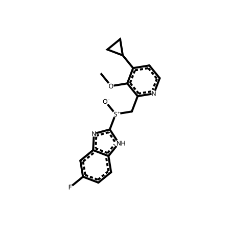 COc1c(C2CC2)ccnc1C[S+]([O-])c1nc2cc(F)ccc2[nH]1